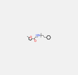 Cc1ccc(C(=O)CCNC(C)(C)CCc2ccccc2)o1